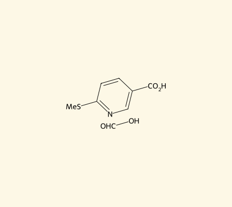 CSc1ccc(C(=O)O)cn1.O=CO